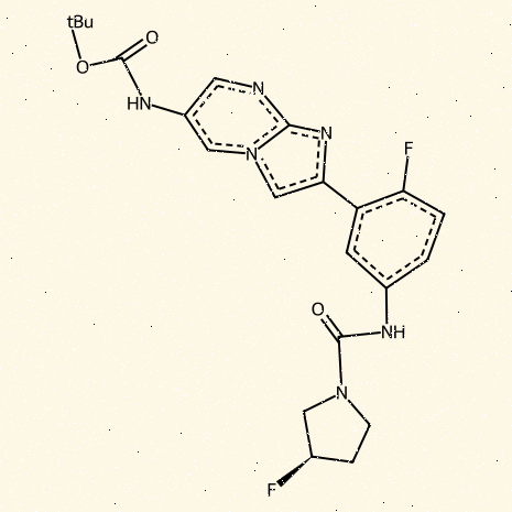 CC(C)(C)OC(=O)Nc1cnc2nc(-c3cc(NC(=O)N4CC[C@@H](F)C4)ccc3F)cn2c1